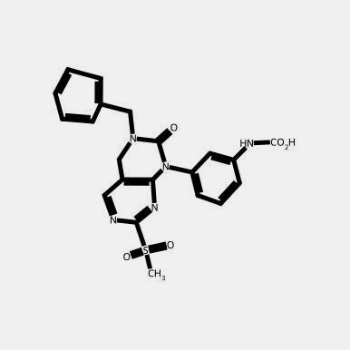 CS(=O)(=O)c1ncc2c(n1)N(c1cccc(NC(=O)O)c1)C(=O)N(Cc1ccccc1)C2